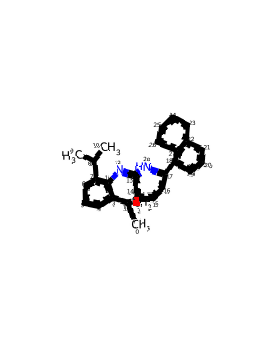 CC(C)c1cccc(C(C)C)c1/N=c1\cccc(-c2cccc3ccccc23)[nH]1